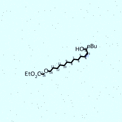 CCCC[C@@H](O)/C=C\CCCCCCCCCCOCC(=O)OCC